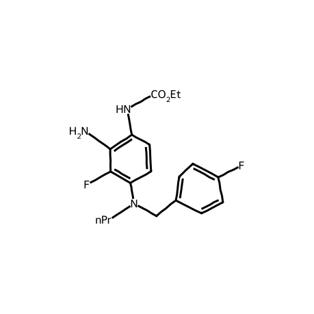 CCCN(Cc1ccc(F)cc1)c1ccc(NC(=O)OCC)c(N)c1F